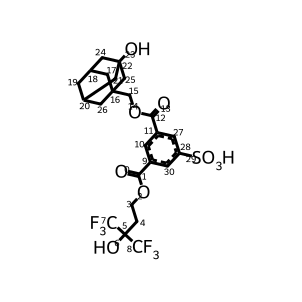 O=C(OCCC(O)(C(F)(F)F)C(F)(F)F)c1cc(C(=O)OCC23CC4CC(CC(O)(C4)C2)C3)cc(S(=O)(=O)O)c1